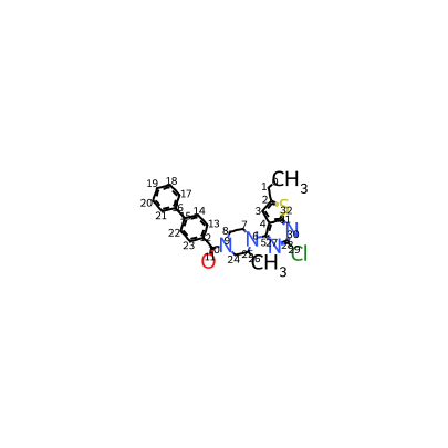 CCc1cc2c(N3CCN(C(=O)c4ccc(-c5ccccc5)cc4)C[C@@H]3C)nc(Cl)nc2s1